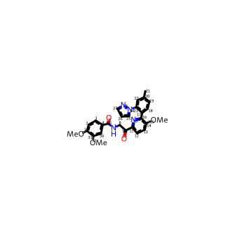 COc1ccc(C(=O)NCC(=O)c2ccc(OC)c(-c3ccc(C)cc3-n3cccn3)n2)cc1OC